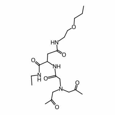 CCCOCCNC(=O)CC(NC(=O)CN(CC(C)=O)CC(C)=O)C(=O)NCC